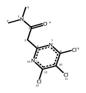 CN(C)C(=O)Cc1nc(Cl)c(Cl)c(Cl)n1